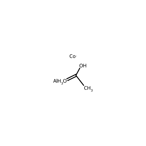 CC(=O)O.[AlH3].[Co]